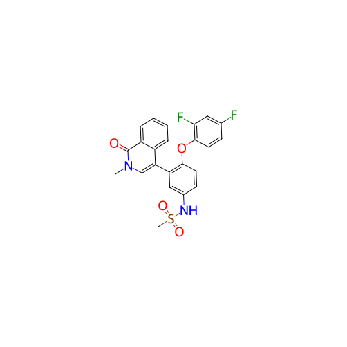 Cn1cc(-c2cc(NS(C)(=O)=O)ccc2Oc2ccc(F)cc2F)c2ccccc2c1=O